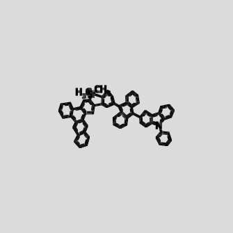 C[Si]1(C)c2ccc(-c3c4ccccc4c(-c4ccc5c(c4)c4ccccc4n5-c4ccccc4)c4ccccc34)cc2-c2cc3c(cc21)c1ccccc1c1cc2ccccc2cc31